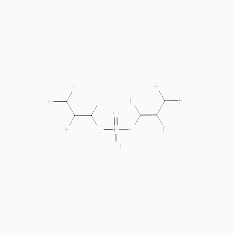 O=P(O)(OC(F)C(F)C(F)F)OC(F)C(F)C(F)F